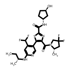 CC[C@@H](C)Nc1cc(C(F)F)c(-c2sc(C(=O)N[C@@H]3CC[C@@H](O)C3)nc2C(=O)N2CC(F)(F)C[C@@H]2C)cn1